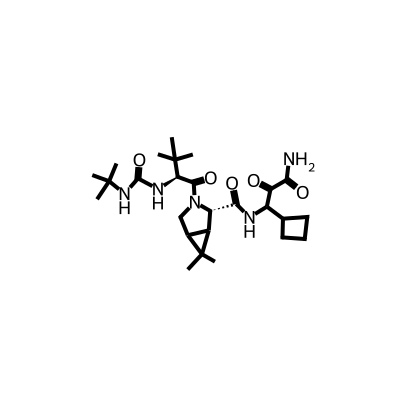 CC(C)(C)NC(=O)N[C@H](C(=O)N1CC2C([C@H]1C(=O)NC(C(=O)C(N)=O)C1CCC1)C2(C)C)C(C)(C)C